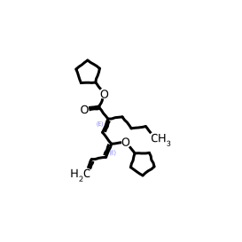 C=C/C=C(\C=C(/CCCC)C(=O)OC1CCCC1)OC1CCCC1